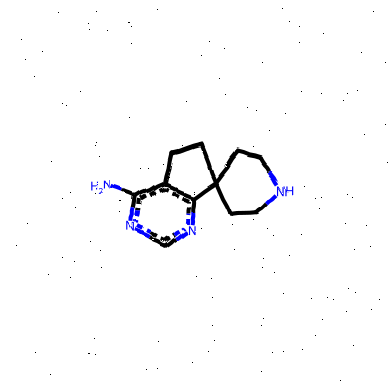 Nc1ncnc2c1CCC21CCNCC1